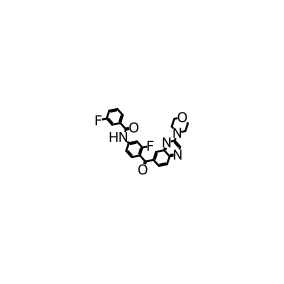 O=C(Nc1ccc(C(=O)c2ccc3ncc(N4CCOCC4)nc3c2)c(F)c1)c1cccc(F)c1